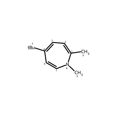 CC1=CC=C(C(C)(C)C)C=CN1C